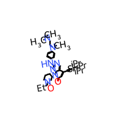 CCC(=O)N1CCC[C@@H](n2c(=O)cc(C#C[Si](C(C)C)(C(C)C)C(C)C)c3cnc(Nc4ccc(N(C)CCN(C)C)cc4)nc32)C1